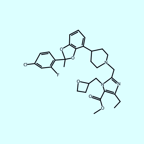 CCc1nc(CN2CCC(c3cccc4c3OC(C)(c3ccc(Cl)cc3F)O4)CC2)n(CC2CCO2)c1C(=O)OC